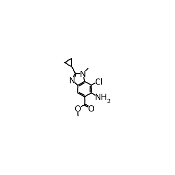 COC(=O)c1cc2nc(C3CC3)n(C)c2c(Cl)c1N